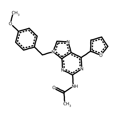 COc1ccc(Cn2cnc3c(-c4ccco4)nc(NC(C)=O)nc32)cc1